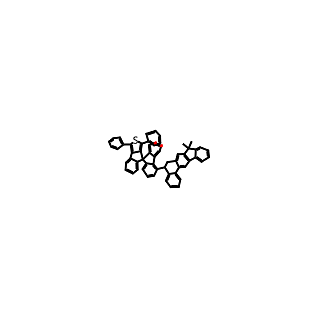 CC1(C)c2ccccc2-c2cc3c(cc21)CC(c1cccc2c1-c1ccccc1C21c2ccccc2-c2c(-c4ccccc4)sc(-c4ccccc4)c21)c1ccccc1-3